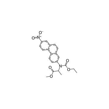 CCOC(=O)N(c1ccc2c(ccc3cc([N+](=O)[O-])ccc32)c1)C(C)C(=O)OC